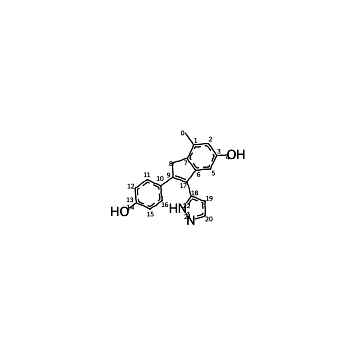 Cc1cc(O)cc2c1CC(c1ccc(O)cc1)=C2c1ccn[nH]1